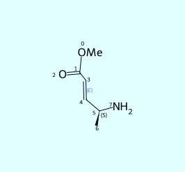 COC(=O)/C=C/[C@H](C)N